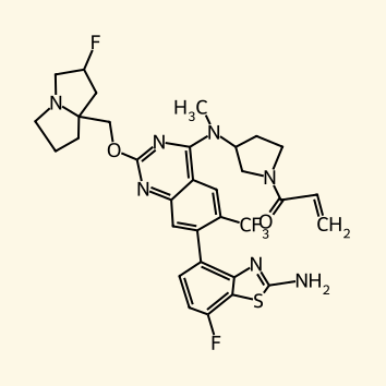 C=CC(=O)N1CCC(N(C)c2nc(OCC34CCCN3CC(F)C4)nc3cc(-c4ccc(F)c5sc(N)nc45)c(C(F)(F)F)cc23)C1